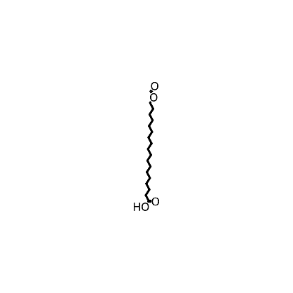 O=COCCCCCCCCCCCCCCCCCC(=O)O